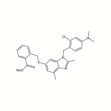 COC(=O)c1ccccc1COc1cc(C)c2nc(C)n(Cc3ccc(N(C)C)cc3Cl)c2c1